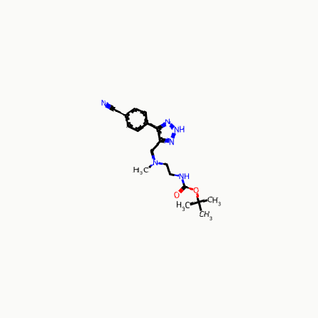 CN(CCNC(=O)OC(C)(C)C)Cc1n[nH]nc1-c1ccc(C#N)cc1